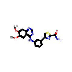 CCOc1cc2c(Nc3cccc(-c4csc(C(N)=O)n4)c3)ncnc2cc1OC(C)CC